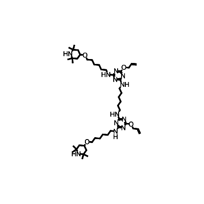 C=CCOc1nc(NCCCCCCNc2nc(NCCCCCCOC3CC(C)(C)NC(C)(C)C3)nc(OCC=C)n2)nc(NCCCCCCOC2CC(C)(C)NC(C)(C)C2)n1